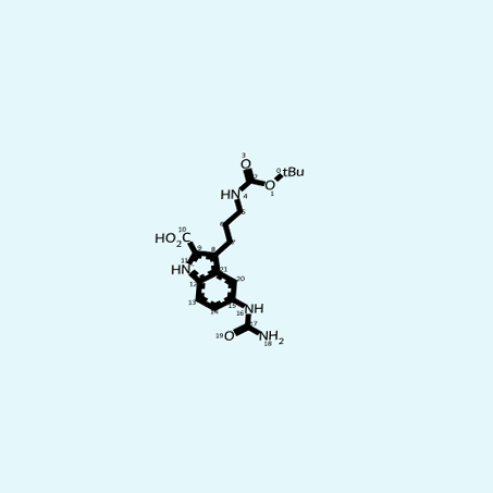 CC(C)(C)OC(=O)NCCCc1c(C(=O)O)[nH]c2ccc(NC(N)=O)cc12